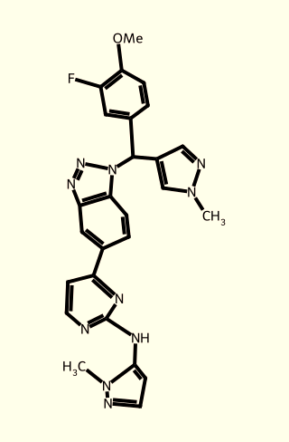 COc1ccc(C(c2cnn(C)c2)n2nnc3cc(-c4ccnc(Nc5ccnn5C)n4)ccc32)cc1F